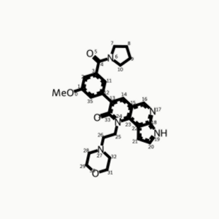 COc1cc(C(=O)N2CCCC2)cc(-c2cc3cnc4[nH]ccc4c3n(CCN3CCOCC3)c2=O)c1